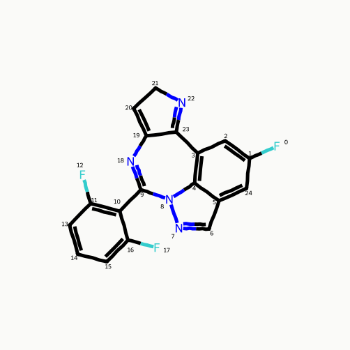 Fc1cc2c3c(cnn3C(c3c(F)cccc3F)=NC3=CCN=C32)c1